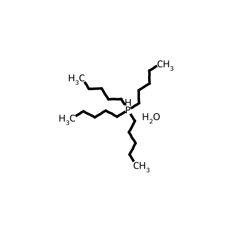 CCCCC[PH](CCCCC)(CCCCC)CCCCC.O